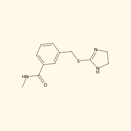 CNC(=O)c1cccc(CSC2=NCCN2)c1